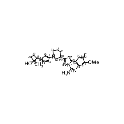 COc1cc2nc(N)n3nc([C@@H]4CCCN(c5cnn([C@@H]6CC[C@]6(C)O)c5)C4)nc3c2cc1F